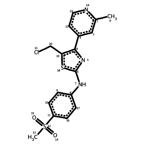 Cc1cc(-c2nc(Nc3ccc(S(C)(=O)=O)cc3)sc2CCl)ccn1